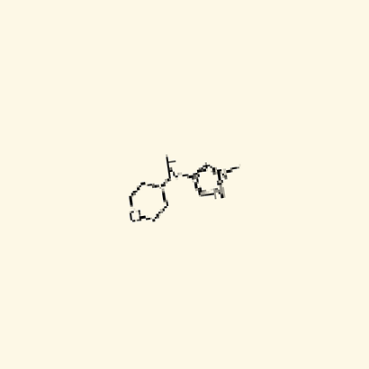 Cn1cc(NC2CCOCC2)cn1